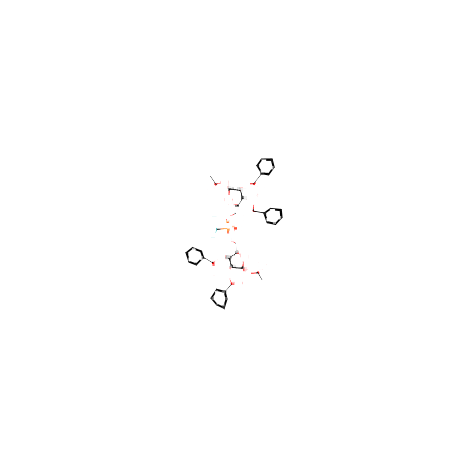 CC(=O)O[C@H]1O[C@H](COP(=O)(OC[C@H]2O[C@H](OC(C)=O)[C@H](OC(=O)c3ccccc3)[C@@H]2OC(=O)c2ccccc2)C(F)F)[C@@H](OC(=O)c2ccccc2)[C@H]1OC(=O)c1ccccc1